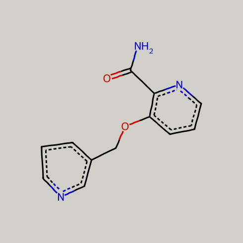 NC(=O)c1ncccc1OCc1cccnc1